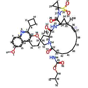 COc1ccc2nc(C3CCC3)c3c(c2c1)CC[C@]1(C[C@H]2C(=O)N[C@]4(C(=O)N5C6(CC6)S5(=O)=O)C[C@H]4/C=C\CCCCC[C@H](NC(=O)OCC(C)C)C(=O)N2C1)O3